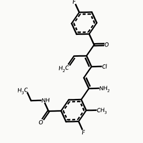 C=C/C(C(=O)c1ccc(F)cc1)=C(Cl)\C=C(/N)c1cc(C(=O)NCC)cc(F)c1C